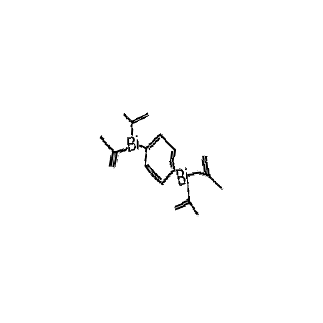 C=[C](C)[Bi]([C](=C)C)[c]1cc[c]([Bi]([C](=C)C)[C](=C)C)cc1